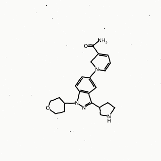 NC(=O)C1=CC=CN(c2ccc3c(c2)c(C2CCNC2)nn3C2CCOCC2)C1